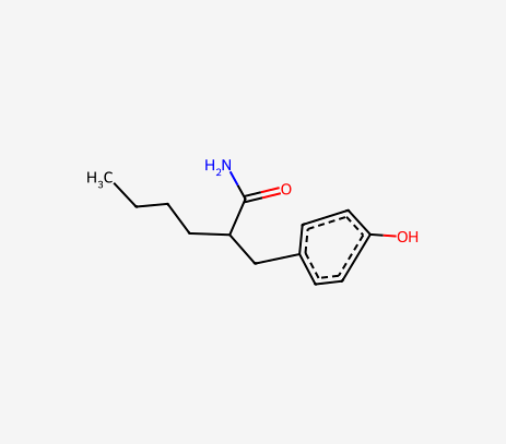 CCCCC(Cc1ccc(O)cc1)C(N)=O